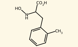 Cc1ccccc1CC(NO)C(=O)O